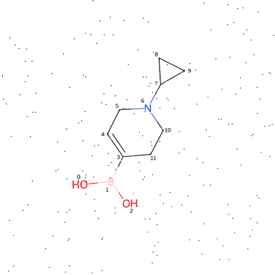 OB(O)C1=CCN(C2CC2)CC1